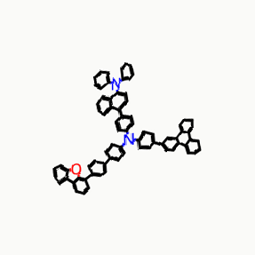 c1ccc(N(c2ccccc2)c2ccc(-c3ccc(N(c4ccc(-c5ccc(-c6cccc7c6oc6ccccc67)cc5)cc4)c4ccc(-c5ccc6c7ccccc7c7ccccc7c6c5)cc4)cc3)c3ccccc23)cc1